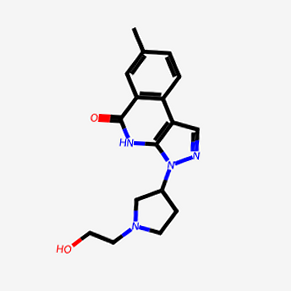 Cc1ccc2c(c1)c(=O)[nH]c1c2cnn1C1CCN(CCO)C1